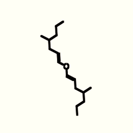 CCCC(C)CC=COC=CCC(C)CCC